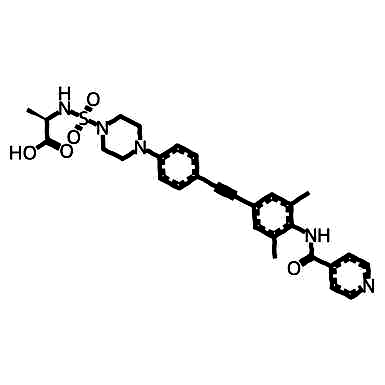 Cc1cc(C#Cc2ccc(N3CCN(S(=O)(=O)N[C@H](C)C(=O)O)CC3)cc2)cc(C)c1NC(=O)c1ccncc1